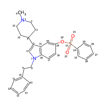 CN1CCC(c2cn(CCc3ccccc3)c3ccc(OS(=O)(=O)c4ccccc4)cc23)CC1